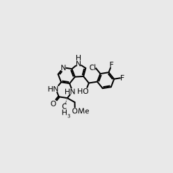 COC[C@]1(C)Nc2c(cnc3[nH]cc(C(O)c4ccc(F)c(F)c4Cl)c23)NC1=O